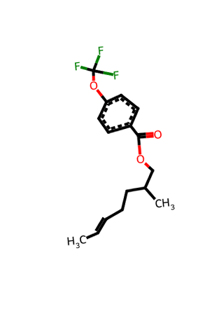 CC=CCCC(C)COC(=O)c1ccc(OC(F)(F)F)cc1